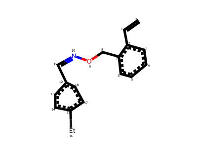 C=Cc1ccccc1CO/N=[C]\c1ccc(CC)cc1